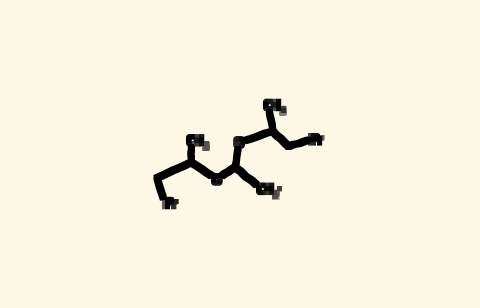 [CH2]C(OC(C)CC(C)C)OC(C)CC(C)C